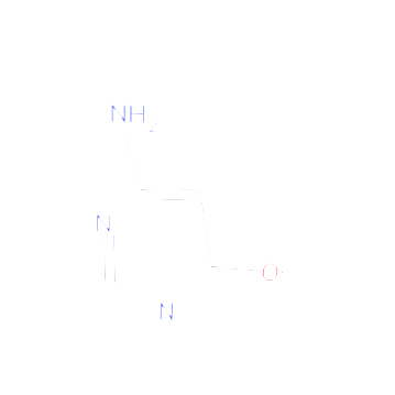 Nc1cc([O])ncn1